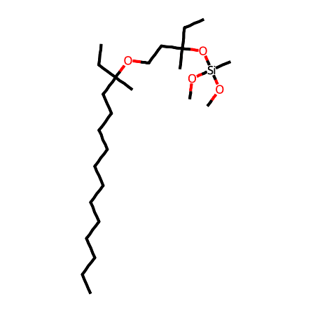 CCCCCCCCCCCCC(C)(CC)OCCC(C)(CC)O[Si](C)(OC)OC